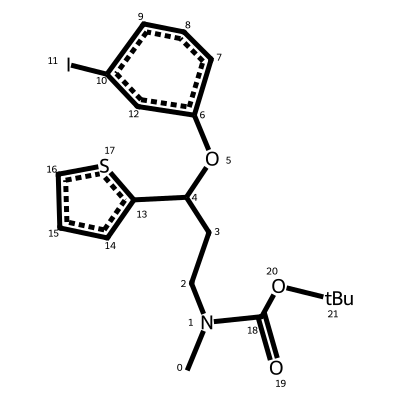 CN(CCC(Oc1cccc(I)c1)c1cccs1)C(=O)OC(C)(C)C